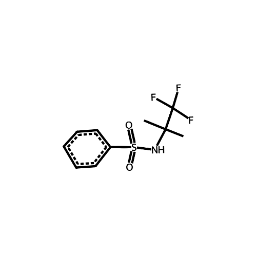 CC(C)(NS(=O)(=O)c1ccccc1)C(F)(F)F